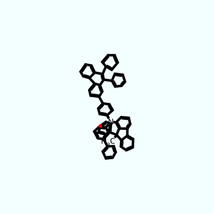 CC1(c2ccccc2)c2ccccc2-c2cccc(N(c3ccc(-c4ccc5c(c4)c(-c4ccccc4)c(-c4ccccc4)c4ccccc45)cc3)c3cccc(-c4ccccc4)c3)c21